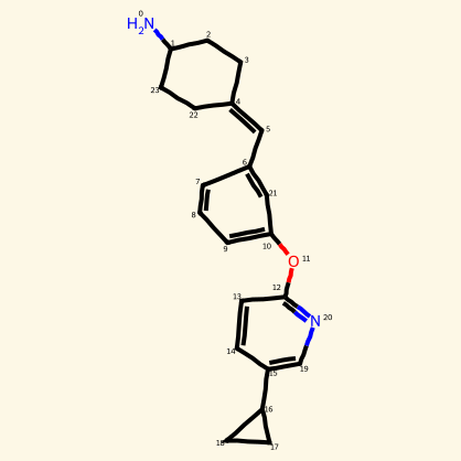 NC1CCC(=Cc2cccc(Oc3ccc(C4CC4)cn3)c2)CC1